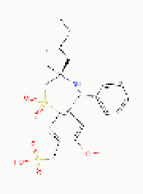 CCCC[C@]1(CC)CS(=O)(=O)c2cc(CS(=O)(=O)O)c(OC)cc2[C@@H](c2ccccc2)N1